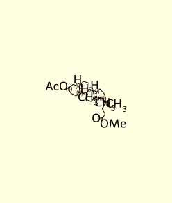 COC(=O)CC[C@@H](C)[C@H]1CC[C@H]2[C@@H]3CC[C@@H]4C[C@@H](OC(C)=O)CC[C@]4(C)C3=CC[C@]12C